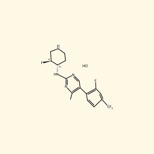 Cc1nc(N[C@H]2CCNC[C@@H]2F)ncc1-c1ccc(C(F)(F)F)cc1F.Cl